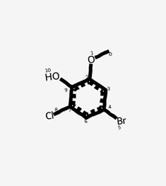 COc1cc(Br)cc(Cl)c1O